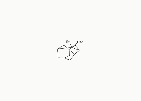 CC(=O)OC1(C(C)C)C2CC3CC4C1CC4(C3)C2